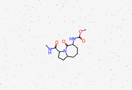 CNC(=O)C1CCC2CCCC(NC(=O)OC)C(=O)N21